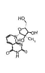 C[C@@]1(O)[C@H](O)[C@@H](CO)O[C@H]1n1cccc2c(=O)[nH]c(=O)nc1-2